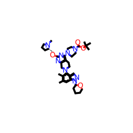 Cc1cc2c(cnn2C2CCCCO2)c(N2CCc3c(nc(OC[C@@H]4CCCN4C)nc3N3CCN(C(=O)OC(C)(C)C)CC3)C2)c1C